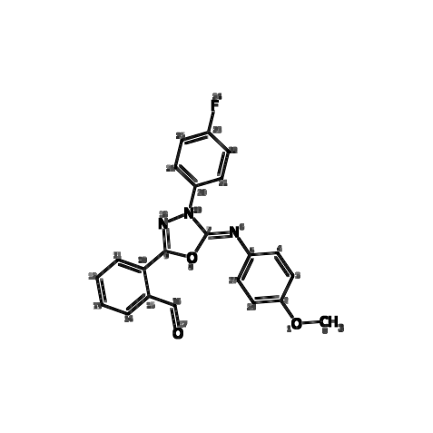 COc1ccc(N=c2oc(-c3ccccc3C=O)nn2-c2ccc(F)cc2)cc1